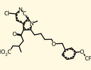 CC(CC(=O)O)CC(=O)c1c(CCCCOCc2cccc(OC(F)(F)F)c2)n(C)c2cnc(Cl)cc12